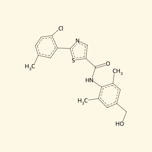 Cc1ccc(Cl)c(-c2ncc(C(=O)Nc3c(C)cc(CO)cc3C)s2)c1